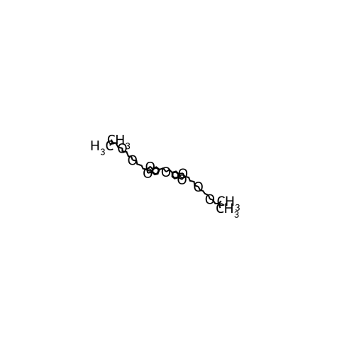 CC(C)CCOCCCCOCCCCC1Oc2ccc(COCc3ccc4c(c3)OC(CCCCOCCCCOCCC(C)C)O4)cc2O1